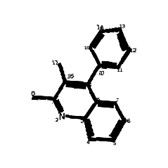 Cc1nc2ccccc2c(-c2ccccc2)c1C